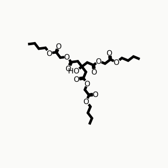 CCCCOC(=O)COC(=O)CC(O)(CC(=O)OCC(=O)OCCCC)CC(=O)OCC(=O)OCCCC